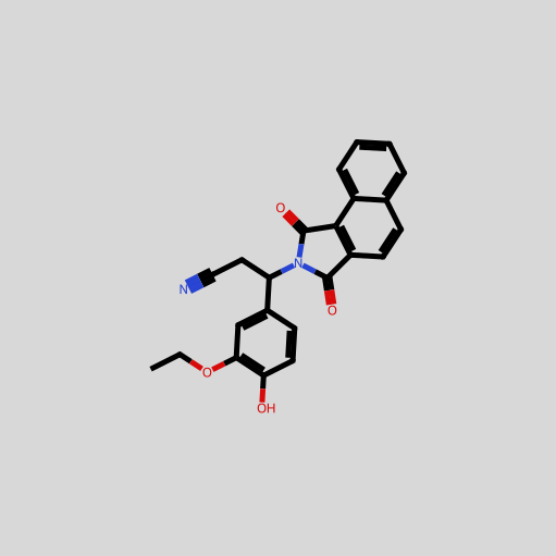 CCOc1cc(C(CC#N)N2C(=O)c3ccc4ccccc4c3C2=O)ccc1O